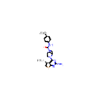 CCOC(=O)c1csc2nc(N)nc(N3CC4CC3CN4C(=O)Nc3ccc(OC)cc3)c12